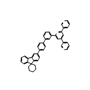 c1cncc(-c2cc(-c3cccnc3)nc(-c3cccc(-c4ccc(-c5ccc6c(c5)-c5ccccc5C65CCCCC5)cc4)c3)c2)c1